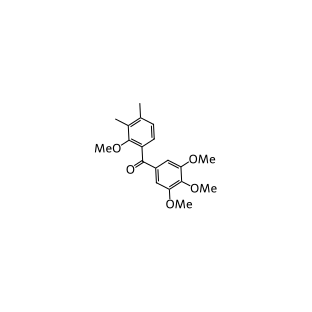 COc1cc(C(=O)c2ccc(C)c(C)c2OC)cc(OC)c1OC